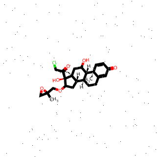 CC1(COC2C[C@H]3[C@@H]4CCC5=CC(=O)C=C[C@]5(C)[C@H]4C(O)C[C@]3(C)[C@@]2(O)C(=O)CCl)CO1